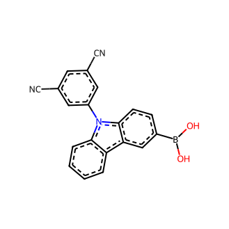 N#Cc1cc(C#N)cc(-n2c3ccccc3c3cc(B(O)O)ccc32)c1